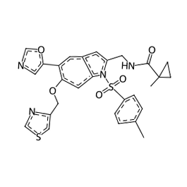 Cc1ccc(S(=O)(=O)n2c(CNC(=O)C3(C)CC3)cc3cc(-c4cnco4)c(OCc4cscn4)cc32)cc1